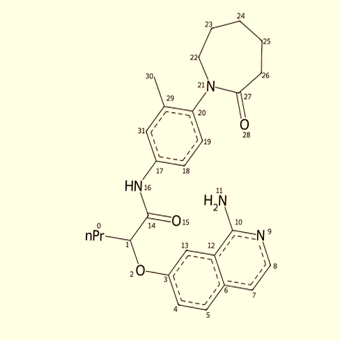 CCCC(Oc1ccc2ccnc(N)c2c1)C(=O)Nc1ccc(N2CCCCCC2=O)c(C)c1